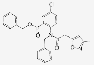 Cc1cc(CC(=O)N(Cc2ccccc2)c2ccc(Cl)cc2C(=O)OCc2ccccc2)on1